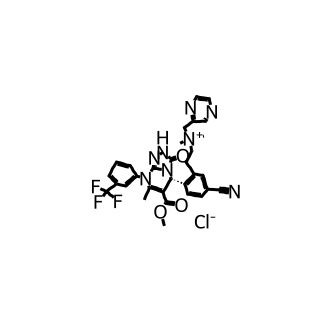 COC(=O)C1=C(C)N(c2cccc(C(F)(F)F)c2)c2n[nH]c(=O)n2[C@@H]1c1ccc(C#N)cc1CC[N+](C)(C)Cc1cnccn1.[Cl-]